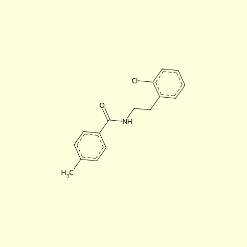 Cc1ccc(C(=O)NCCc2ccccc2Cl)cc1